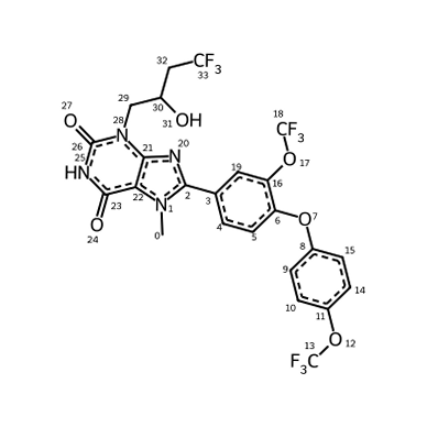 Cn1c(-c2ccc(Oc3ccc(OC(F)(F)F)cc3)c(OC(F)(F)F)c2)nc2c1c(=O)[nH]c(=O)n2CC(O)CC(F)(F)F